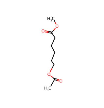 COC(=O)CCCCCOC(C)=O